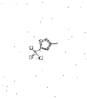 Cc1csc(S(=O)(=O)Cl)c1